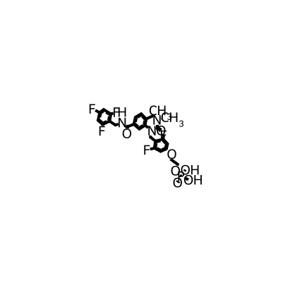 C[C@H]1c2ccc(C(=O)NCc3c(F)cc(F)cc3F)cc2N(Cc2c(F)cc(OCCOP(=O)(O)O)cc2F)C(=O)N1C